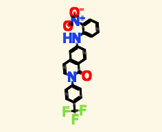 O=c1c2ccc(Nc3ccccc3[N+](=O)[O-])cc2ccn1-c1ccc(C(F)(F)F)cc1